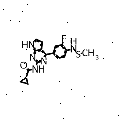 CSNc1ccc(-c2nc(NC(=O)C3CC3)nc3[nH]ccc23)cc1F